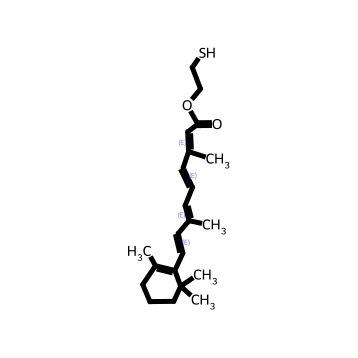 CC1=C(/C=C/C(C)=C/C=C/C(C)=C/C(=O)OCCS)C(C)(C)CCC1